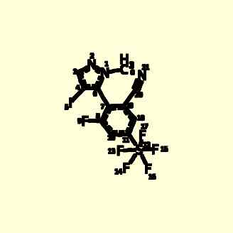 Cn1ncc(I)c1-c1c(F)cc(S(F)(F)(F)(F)F)cc1C#N